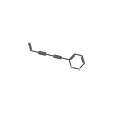 C=CC#CC#CC1=CC=CSS1